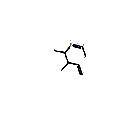 C=CC(C)C(C)/N=C\C